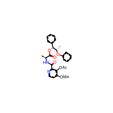 COc1ccnc(C(=O)N[C@@H](C)C(=O)O[C@H](c2ccccc2)[C@H](C)Oc2ccccc2)c1OC(C)=O